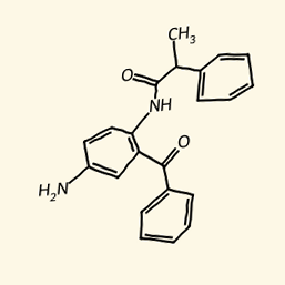 CC(C(=O)Nc1ccc(N)cc1C(=O)c1ccccc1)c1ccccc1